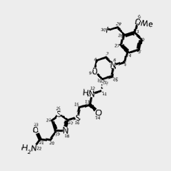 COc1ccc(CN2CCO[C@@H](CNC(=O)CSc3nc(CC(N)=O)cs3)C2)cc1CI